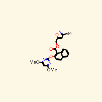 COc1cc(OC)nc(Oc2ccc3ccccc3c2C(=O)OCc2cc(C(C)C)no2)n1